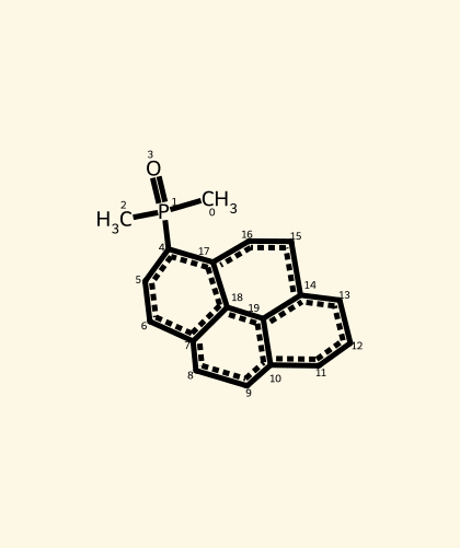 CP(C)(=O)c1ccc2ccc3cccc4ccc1c2c34